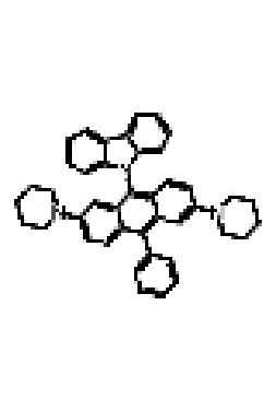 c1ccc(-c2c3cc(N4CCCCC4)ccc3c(-n3c4ccccc4c4ccccc43)c3cc(N4CCCCC4)ccc23)cc1